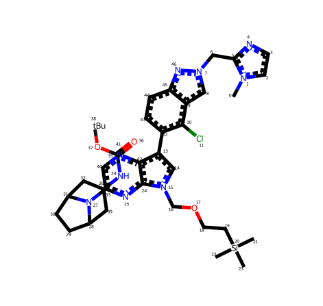 Cn1ccnc1Cn1cc2c(Cl)c(-c3cn(COCC[Si](C)(C)C)c4nc(N5C6CCC5CC(NC(=O)OC(C)(C)C)C6)cnc34)ccc2n1